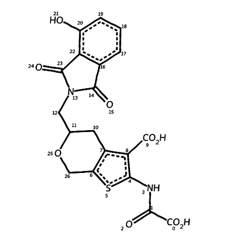 O=C(O)C(=O)Nc1sc2c(c1C(=O)O)CC(CN1C(=O)c3cccc(O)c3C1=O)OC2